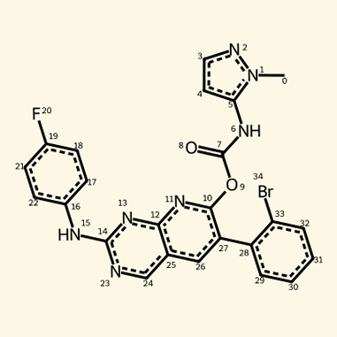 Cn1nccc1NC(=O)Oc1nc2nc(Nc3ccc(F)cc3)ncc2cc1-c1ccccc1Br